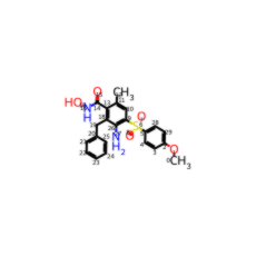 COc1ccc(S(=O)(=O)c2cc(C)c(C(=O)NO)c(Cc3ccccc3)c2N)cc1